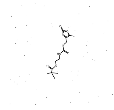 Cc1oc(=O)oc1COC(=O)NCCOC(=O)C(C)(C)C